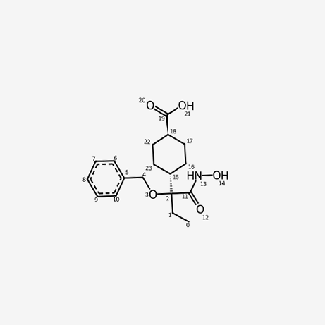 CCC(OCc1ccccc1)(C(=O)NO)[C@H]1CC[C@H](C(=O)O)CC1